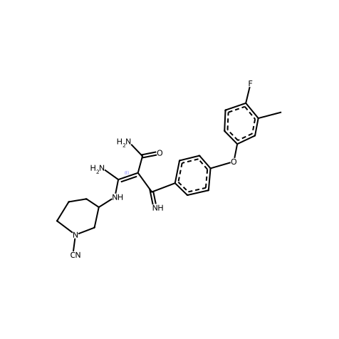 Cc1cc(Oc2ccc(C(=N)/C(C(N)=O)=C(/N)NC3CCCN(C#N)C3)cc2)ccc1F